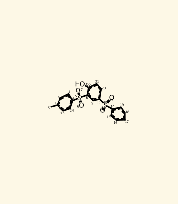 Cc1ccc(S(=O)(=O)c2cc(S(=O)(=O)c3ccccc3)ccc2O)cc1